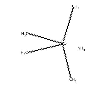 CCCCCCCCCCCCCCCCCCCCCCCCOC(=O)C(CCCCCCCCCCCCCCCCCCCCCCCC)(CCCCCCCCCCCCCCCCCCCCCCCC)CCCCCCCCCCCCCCCCCCCCCCCC.N